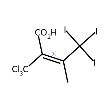 C/C(=C(/C(=O)O)C(Cl)(Cl)Cl)C(I)(I)I